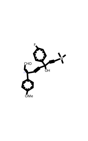 COc1ccc(/C(C#CC(O)(C#C[Si](C)(C)C)c2ccc(F)cc2)=C/C=O)cc1